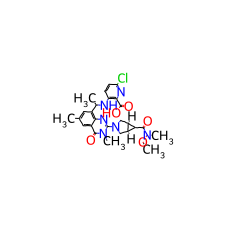 CON(C)C(=O)C1[C@H]2CN(c3nc4c([C@@H](C)Nc5ccc(Cl)nc5C(=O)O)cc(C)cc4c(=O)n3C)C[C@@H]12